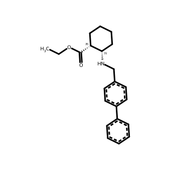 CCOC(=O)[C@@H]1CCCC[C@@H]1NCc1ccc(-c2ccccc2)cc1